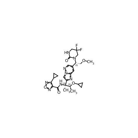 COC[C@H](c1cnn2cc([C@](C)(NC(=O)c3nonc3C3CC3)[C@H](C)OC3CC3)nc2c1)N1CC(F)(F)CNC1=O